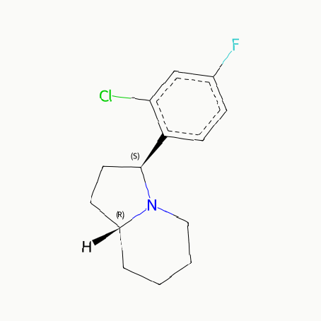 Fc1ccc([C@@H]2CC[C@H]3CCCCN32)c(Cl)c1